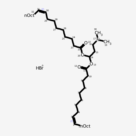 Br.CCCCCCCC/C=C\CCCCCCCC(=O)OC(CCN(C)C)OC(=O)CCCCCCC/C=C\CCCCCCCC